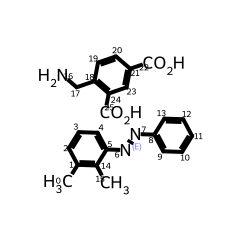 Cc1cccc(/N=N/c2ccccc2)c1C.NCc1ccc(C(=O)O)cc1C(=O)O